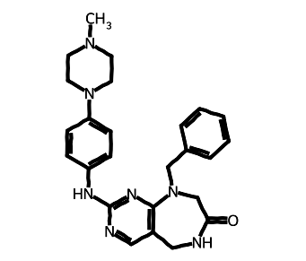 CN1CCN(c2ccc(Nc3ncc4c(n3)N(Cc3ccccc3)CC(=O)NC4)cc2)CC1